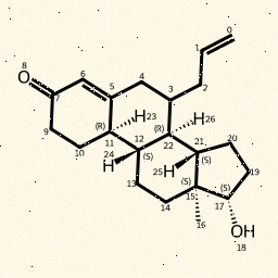 C=CCC1CC2=CC(=O)CC[C@@H]2[C@H]2CC[C@]3(C)[C@@H](O)CC[C@H]3[C@H]12